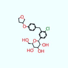 OC[C@H]1O[C@@H](c2ccc(Cl)c(Cc3ccc(OC4CCOC4)cc3)c2)[C@H](O)C(O)[C@@H]1O